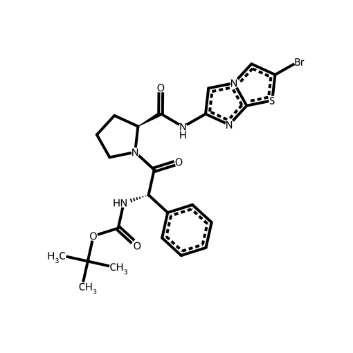 CC(C)(C)OC(=O)N[C@H](C(=O)N1CCC[C@H]1C(=O)Nc1cn2cc(Br)sc2n1)c1ccccc1